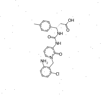 Cc1ccc([C@H](CC(=O)O)NC(=O)Nc2cccn(Cc3c(N)cccc3Cl)c2=O)cc1